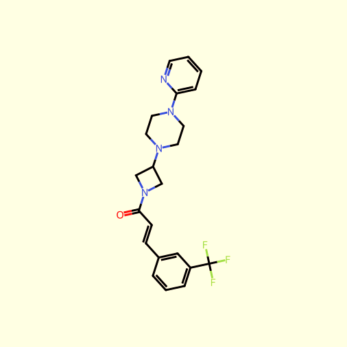 O=C(C=Cc1cccc(C(F)(F)F)c1)N1CC(N2CCN(c3ccccn3)CC2)C1